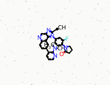 C#Cc1nc2cnc3ccc(-c4cccnc4N(C)C)cc3c2n1-c1ccc(N2CCCC2=O)c(F)c1